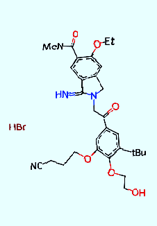 Br.CCOc1cc2c(cc1C(=O)NC)C(=N)N(CC(=O)c1cc(OCCCC#N)c(OCCO)c(C(C)(C)C)c1)C2